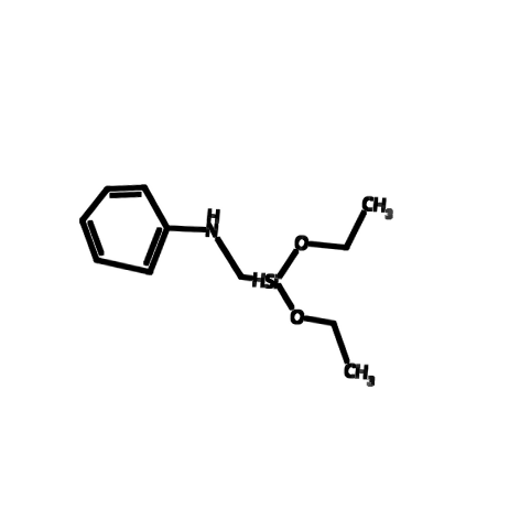 CCO[SiH](CNc1ccccc1)OCC